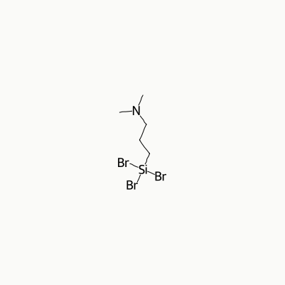 CN(C)CCC[Si](Br)(Br)Br